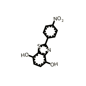 O=[N+]([O-])c1ccc(-c2nc3c(O)ccc(O)c3s2)cc1